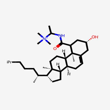 CC(C)CCC[C@@H](C)[C@H]1CC[C@H]2[C@@H]3CC=C4C[C@@H](O)CC(C(=O)NC(C)[N+](C)(C)C)[C@]4(C)[C@H]3CC[C@]12C